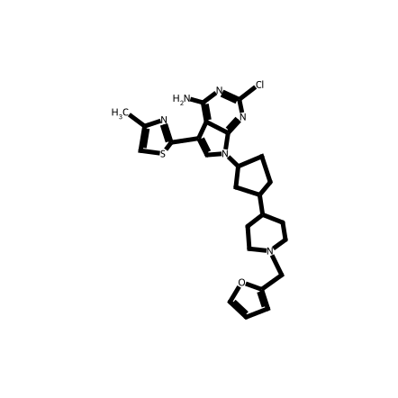 Cc1csc(-c2cn(C3CCC(C4CCN(Cc5ccco5)CC4)C3)c3nc(Cl)nc(N)c23)n1